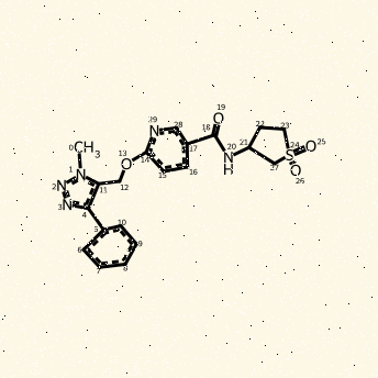 Cn1nnc(-c2ccccc2)c1COc1ccc(C(=O)NC2CCS(=O)(=O)C2)cn1